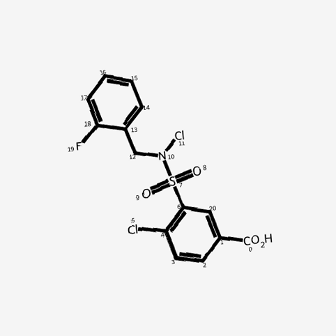 O=C(O)c1ccc(Cl)c(S(=O)(=O)N(Cl)Cc2ccccc2F)c1